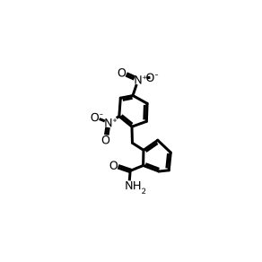 NC(=O)c1ccccc1Cc1ccc([N+](=O)[O-])cc1[N+](=O)[O-]